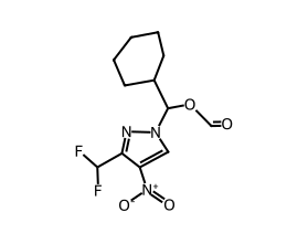 O=COC(C1CCCCC1)n1cc([N+](=O)[O-])c(C(F)F)n1